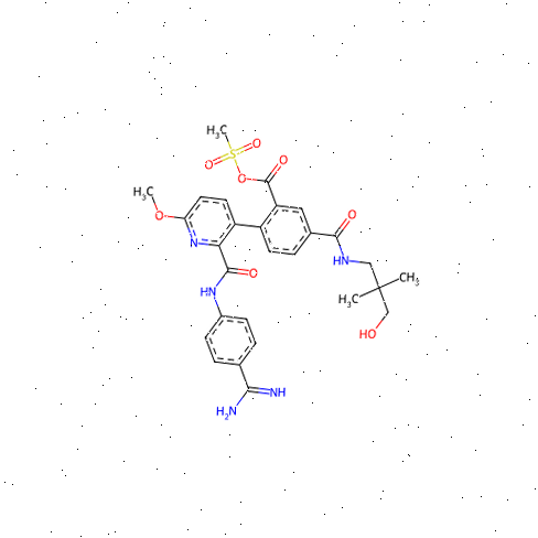 COc1ccc(-c2ccc(C(=O)NCC(C)(C)CO)cc2C(=O)OS(C)(=O)=O)c(C(=O)Nc2ccc(C(=N)N)cc2)n1